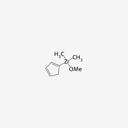 C[O][Zr]([CH3])([CH3])[C]1=CC=CC1